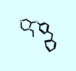 CCN1CCOCC1Oc1ccc(Cc2ccccc2)cc1